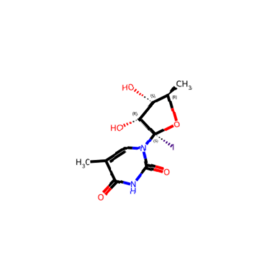 Cc1cn([C@]2(I)O[C@H](C)[C@@H](O)[C@H]2O)c(=O)[nH]c1=O